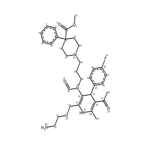 COC(=O)C1(c2ccccc2)CCN(CCCN(C=O)C2=C(COCCN)NC(C)=C(C(C)=O)C2c2ccc(F)cc2)CC1